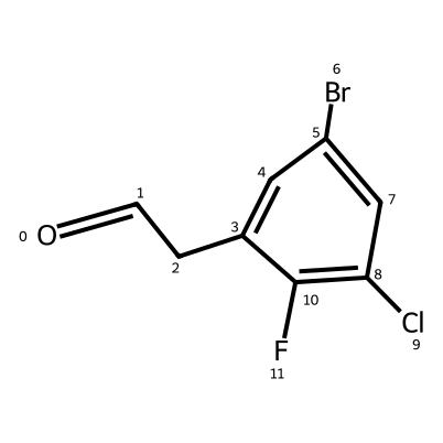 O=CCc1cc(Br)cc(Cl)c1F